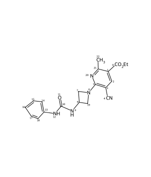 CCOC(=O)c1cc(C#N)c(N2CC(NC(=O)Nc3ccccc3)C2)nc1C